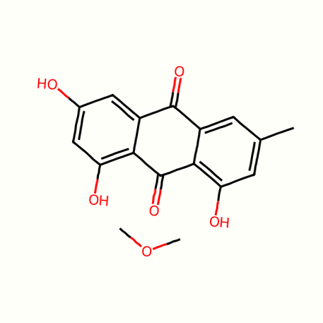 COC.Cc1cc(O)c2c(c1)C(=O)c1cc(O)cc(O)c1C2=O